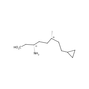 C[C@H](CCC1CC1)CC[C@H](N)CC(=O)O